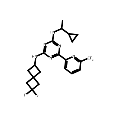 CC(Nc1nc(NC2CC3(C2)CC(F)(F)C3)nc(-c2cccc(C(F)(F)F)n2)n1)C1CC1